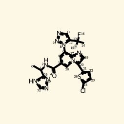 CC(NC(=O)c1cc(-n2nncc2C(C)(F)F)c2ncc(-c3ccc(Cl)s3)n2c1)c1nnc[nH]1